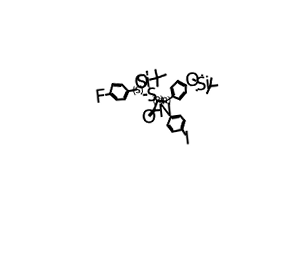 CC(C)(C)[Si](C)(C)Oc1ccc([C@@H]2[C@@H](SC[C@@H](O[Si](C)(C)C(C)(C)C)c3ccc(F)cc3)C(=O)N2c2ccc(I)cc2)cc1